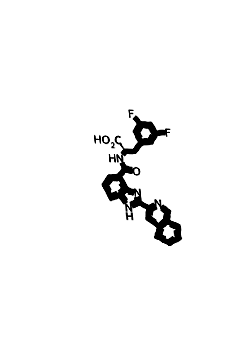 O=C(N[C@@H](Cc1cc(F)cc(F)c1)C(=O)O)c1cccc2[nH]c(-c3cc4ccccc4cn3)nc12